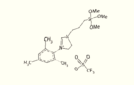 CO[Si](CCCN1C=[N+](c2c(C)cc(C)cc2C)CC1)(OC)OC.O=S(=O)([O-])C(F)(F)F